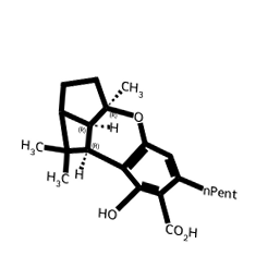 CCCCCc1cc2c(c(O)c1C(=O)O)[C@@H]1[C@H]3C(CC[C@@]3(C)O2)C1(C)C